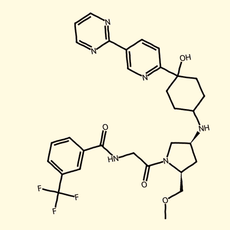 COC[C@@H]1C[C@H](NC2CCC(O)(c3ccc(-c4ncccn4)cn3)CC2)CN1C(=O)CNC(=O)c1cccc(C(F)(F)F)c1